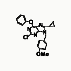 COc1ccc(Cn2c(C3CC3)nc3c(Oc4ccccc4)nc(Cl)nc32)cc1